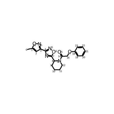 Cc1cc(-c2noc(C3CCCCN3C(=O)COc3ccccc3)n2)no1